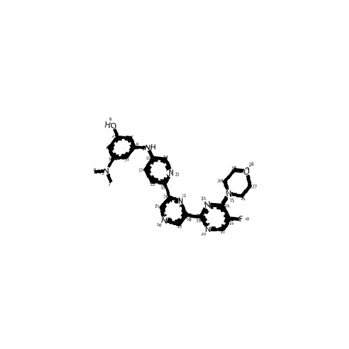 CN(C)c1cc(O)cc(Nc2ccc(-c3cncc(-c4ncc(F)c(N5CCOCC5)n4)n3)nc2)c1